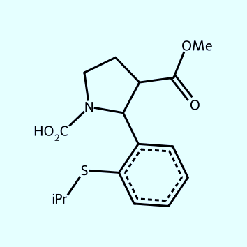 COC(=O)C1CCN(C(=O)O)C1c1ccccc1SC(C)C